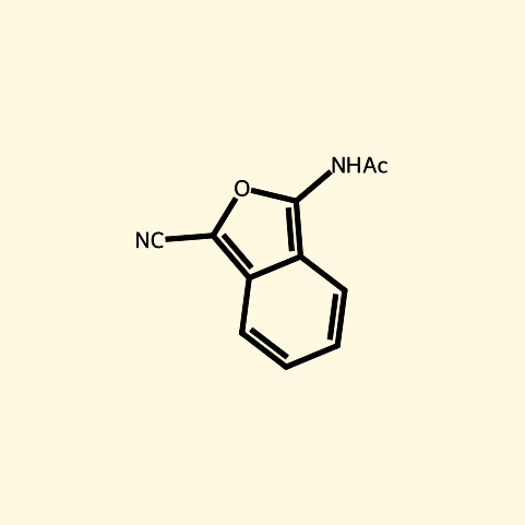 CC(=O)Nc1oc(C#N)c2ccccc12